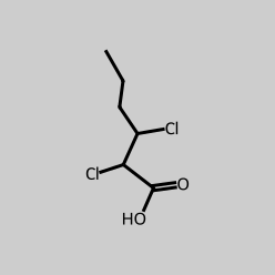 CCCC(Cl)C(Cl)C(=O)O